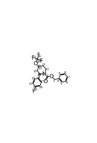 O=C(OCc1ccccc1)N1CC[C@H](OC(F)(F)F)C[C@@H]1c1ccc(F)cc1